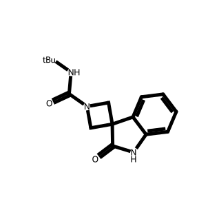 CC(C)(C)NC(=O)N1CC2(C1)C(=O)Nc1ccccc12